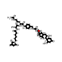 CCCC1=CC(=O)C=C[C@]1(C)[C@@H]1C[C@@H]2C[C@H]3OC(CCC)O[C@@]3(C(=O)COC(=O)NCc3ccc(NC(=O)[C@H](CCCNC(N)=O)NC(=O)[C@@H](NC(=O)CCCCCN4C(=O)C=C(C)C4=O)C(C)C)cc3)[C@@]2(C)C[C@@H]1O